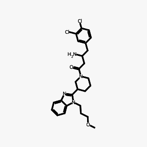 COCCCn1c(C2CCCN(C(=O)CC(N)Cc3ccc(Cl)c(Cl)c3)C2)nc2ccccc21